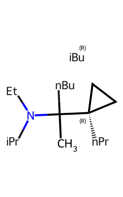 CCCCC(C)(N(CC)C(C)C)[C@]1(CCC)CC1[C@H](C)CC